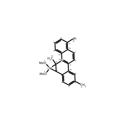 CO[N+]1(OC)C2c3ccc(C)cc3-c3ccc4c(C(C)C)cccc4[n+]3C21C